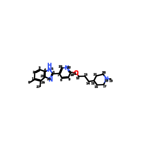 Cc1ccc2[nH]c(-c3ccc(OCCCC4CCN(C)CC4)nc3)nc2c1C